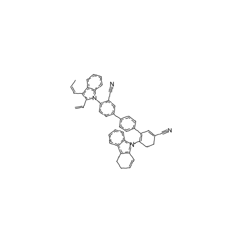 C=Cc1c(/C=C\C)c2ccccc2n1-c1ccc(-c2ccc(C3=C(n4c5c(c6ccccc64)CCC=C5)CCC(C#N)=C3)cc2)cc1C#N